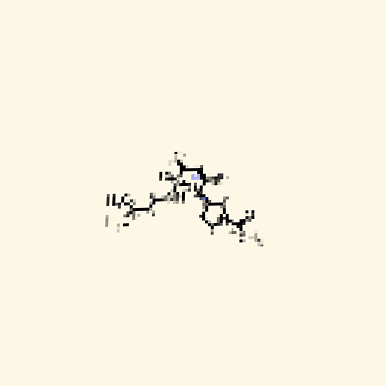 C=C(/C=C(Br)\C=C1\CCN(C(C)=O)C1)S(=O)(=O)NCCC(C)C